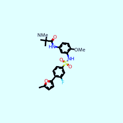 CNC(C)(C)C(=O)Nc1ccc(OC)c(NS(=O)(=O)c2ccc(-c3ccc(C)o3)c(F)c2)c1